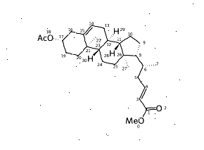 COC(=O)/C=C/C[C@@H](C)[C@H]1CC[C@H]2[C@@H]3CC=C4C[C@@H](OC(C)=O)CC[C@]4(C)[C@H]3CC[C@]12C